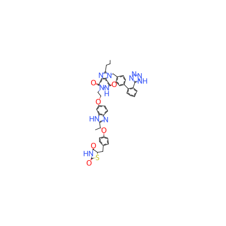 CCCc1nc2c(=O)n(CCOc3ccc4nc(C(C)Oc5ccc(CC6SC(=O)NC6=O)cc5)[nH]c4c3)[nH]c(=O)c2n1Cc1ccc(-c2ccccc2-c2nnn[nH]2)cc1